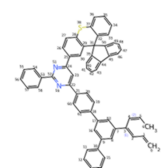 C=C/C=C(\C=C/C)c1cc(-c2ccccc2)cc(-c2ccc(-c3cc(-c4ccc5c(c4)C4(c6ccccc6S5)c5ccccc5-c5ccccc54)nc(-c4ccccc4)n3)cc2)c1